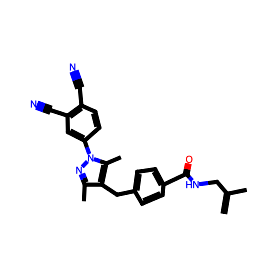 C=C(C)CNC(=O)c1ccc(Cc2c(C)nn(-c3ccc(C#N)c(C#N)c3)c2C)cc1